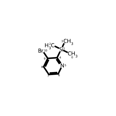 C[Si](C)(C)c1ncccc1Br